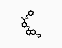 O=C(NCc1ccncc1)c1cccc(Oc2ccnc3cc(N4CCC4)ccc23)c1